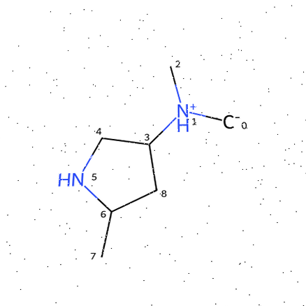 [CH2-][NH+](C)C1CNC(C)C1